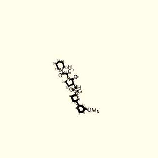 COc1cccc(-c2ccc(S(=O)(=O)N[C@H]3CCN([C@@H](C)C(=O)N4CCCCC4)C3=O)s2)c1